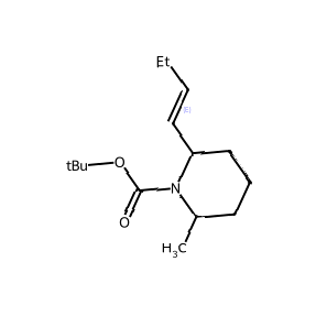 CC/C=C/C1CCCC(C)N1C(=O)OC(C)(C)C